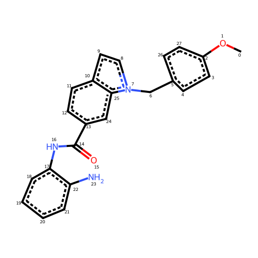 COc1ccc(Cn2ccc3ccc(C(=O)Nc4ccccc4N)cc32)cc1